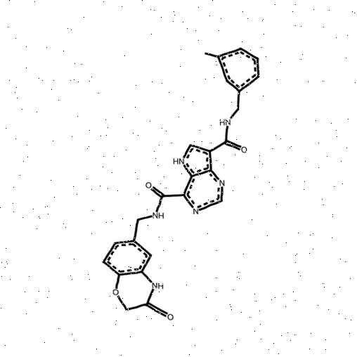 Cc1cccc(CNC(=O)c2c[nH]c3c(C(=O)NCc4ccc5c(c4)NC(=O)CO5)ncnc23)c1